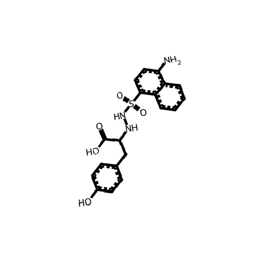 Nc1ccc(S(=O)(=O)NNC(Cc2ccc(O)cc2)C(=O)O)c2ccccc12